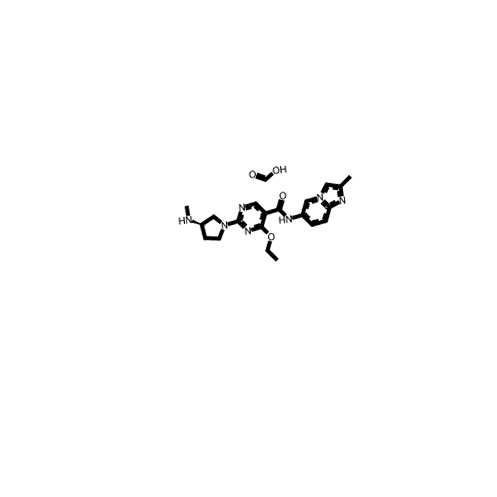 CCOc1nc(N2CC[C@@H](NC)C2)ncc1C(=O)Nc1ccc2nc(C)cn2c1.O=CO